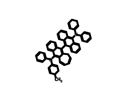 CC1C=CC(N(c2ccccc2)c2c3c(c(-c4c5ccccc5c(N(C5=CCCC=C5)c5ccccc5)c5ccccc45)c4ccccc24)CC=CC=C3)=CC1